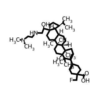 CC(C)[C@@H]1CC[C@]2([C@H](O)CNCCN(C)C)CC[C@]3(C)[C@H](CC[C@@H]4[C@@]5(C)CC=C(C6=CCC(CF)(C(=O)O)CC6)C(C)(C)[C@@H]5CC[C@]43C)[C@@H]12